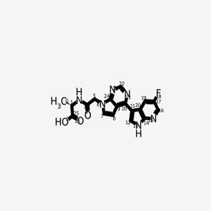 C[C@H](NC(=O)Cn1ccc2c(-c3c[nH]c4ncc(F)cc34)ncnc21)C(=O)O